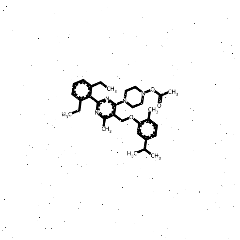 CCc1cccc(CC)c1-c1nc(C)c(COc2cc(C(C)C)ccc2C)c(N2CCN(OC(C)=O)CC2)n1